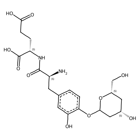 N[C@@H](Cc1ccc(OC2C[C@@H](O)C[C@@H](CO)O2)c(O)c1)C(=O)N[C@@H](CCC(=O)O)C(=O)O